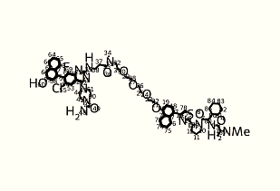 CN[C@@H](C)C(=O)N[C@H](C(=O)N1CCC[C@H]1c1nc(-c2ccc(OCCOCCOCCOCCN(C)C(=O)CCNc3nc(N4CCN(C(N)=O)CC4)c4cc(Cl)c(-c5cc(O)cc6ccccc56)c(F)c4n3)c3ccccc23)cs1)C1CCCCC1